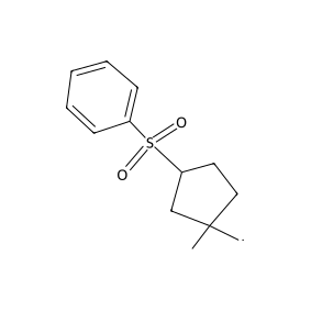 [CH2]C1(C)CCC(S(=O)(=O)c2ccccc2)C1